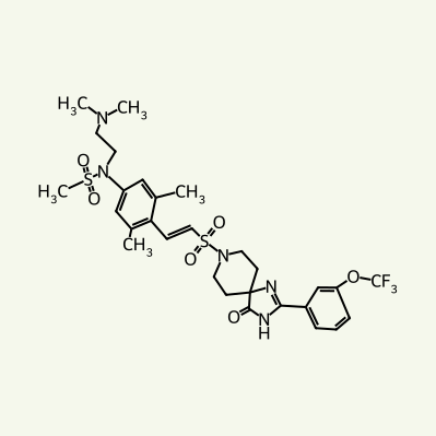 Cc1cc(N(CCN(C)C)S(C)(=O)=O)cc(C)c1C=CS(=O)(=O)N1CCC2(CC1)N=C(c1cccc(OC(F)(F)F)c1)NC2=O